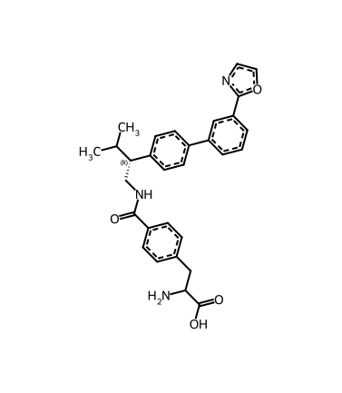 CC(C)[C@@H](CNC(=O)c1ccc(CC(N)C(=O)O)cc1)c1ccc(-c2cccc(-c3ncco3)c2)cc1